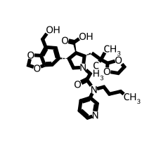 CCCCN(C(=O)CN1C[C@H](c2cc(CO)c3c(c2)OCO3)[C@@H](C(=O)O)[C@@H]1CC(C)(C)C1OCCO1)c1cccnc1